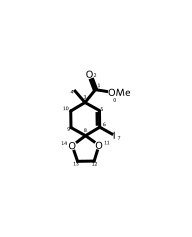 COC(=O)C1(C)C=C(I)C2(CC1)OCCO2